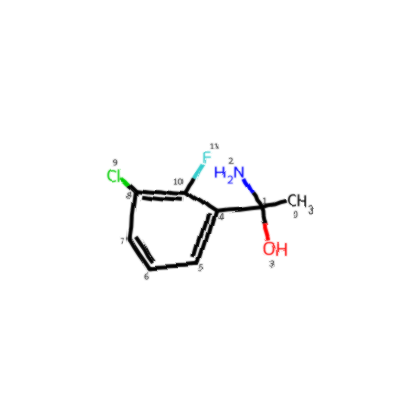 CC(N)(O)c1cccc(Cl)c1F